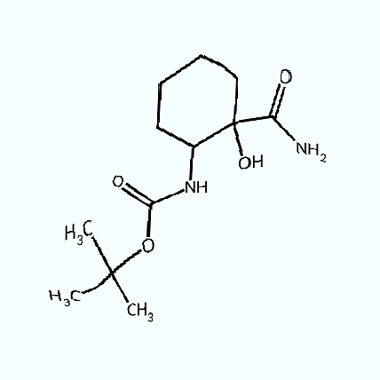 CC(C)(C)OC(=O)NC1CCCCC1(O)C(N)=O